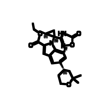 CCOC(=O)c1cc2cc([C@H]3CCOC(C)(C)C3)cc(F)c2n1[C@@]1(c2noc(=O)[nH]2)C[C@@H]1C